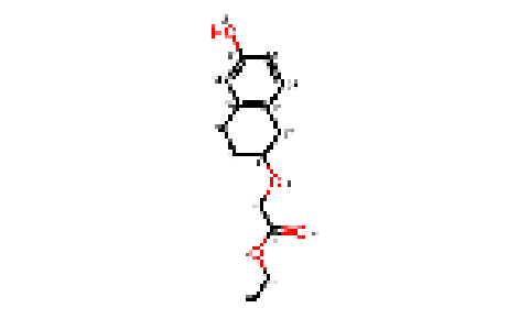 CCOC(=O)COC1CCc2cc(O)ccc2C1